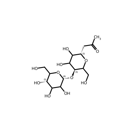 CC(=O)C[C@@H]1OC(CO)[C@@H](O[C@H]2OC(CO)[C@@H](O)C(O)C2O)C(O)C1O